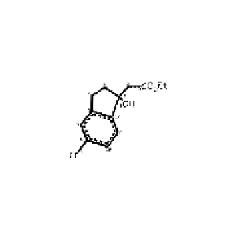 CCOC(=O)CC1(O)CCc2cc(Cl)ccc21